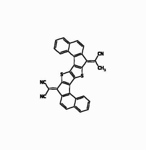 C/C(C#N)=C1/c2ccc3ccccc3c2-c2c1sc1c3c(sc21)C(=C(C#N)C#N)c1ccc2ccccc2c1-3